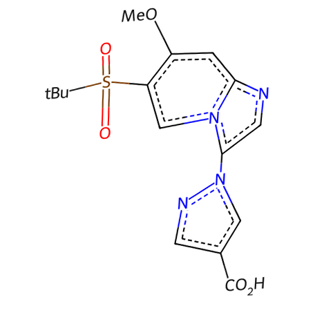 COc1cc2ncc(-n3cc(C(=O)O)cn3)n2cc1S(=O)(=O)C(C)(C)C